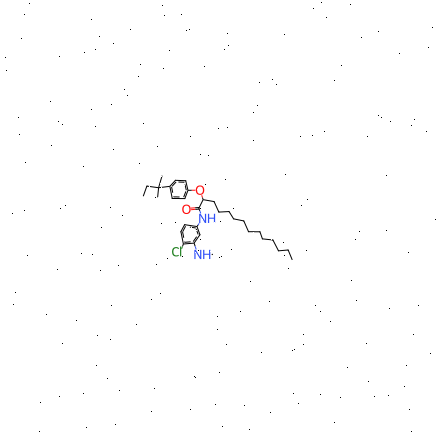 CCCCCCCCCCCCC(Oc1ccc(C(C)(C)CC)cc1)C(=O)Nc1ccc(Cl)c([NH])c1